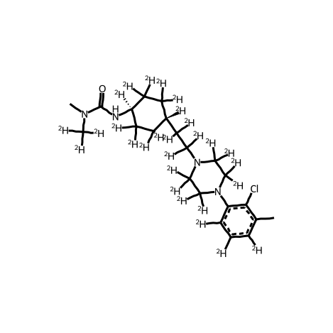 [2H]c1c([2H])c(C)c(Cl)c(N2C([2H])([2H])C([2H])([2H])N(C([2H])([2H])C([2H])([2H])[C@]3([2H])C([2H])([2H])C([2H])([2H])[C@@]([2H])(NC(=O)N(C)C([2H])([2H])[2H])C([2H])([2H])C3([2H])[2H])C([2H])([2H])C2([2H])[2H])c1[2H]